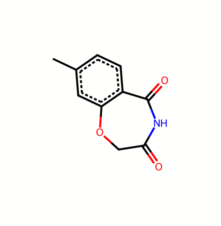 Cc1ccc2c(c1)OCC(=O)NC2=O